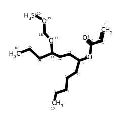 C=CC(=O)OC(CCCCC)CCC(CCC)OCO[SiH3]